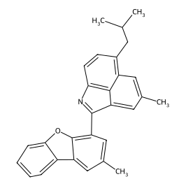 Cc1cc2c3c(ccc(CC(C)C)c3c1)N=C2c1cc(C)cc2c1oc1ccccc12